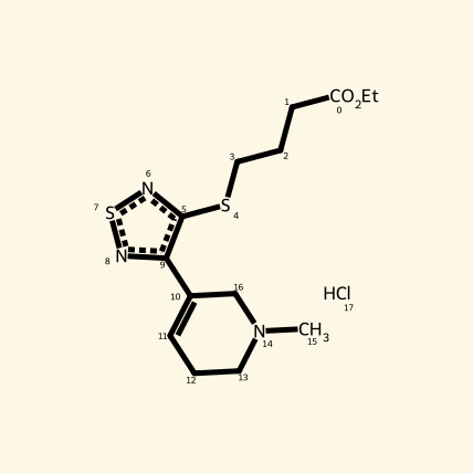 CCOC(=O)CCCSc1nsnc1C1=CCCN(C)C1.Cl